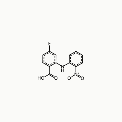 O=C(O)c1ccc(F)cc1Nc1ccccc1[N+](=O)[O-]